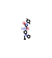 Cc1ccc(C)c(N2CC(C(=O)Nc3ccc(N(CC4CC4)c4ccccc4)cc3)CC2=O)c1